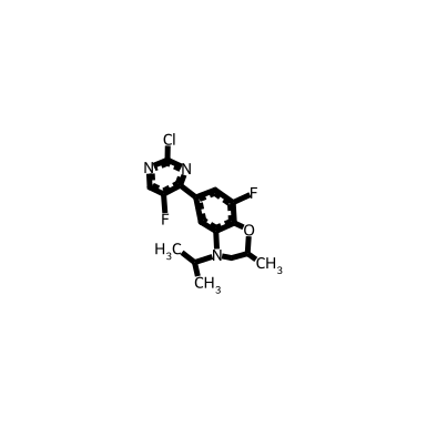 CC1CN(C(C)C)c2cc(-c3nc(Cl)ncc3F)cc(F)c2O1